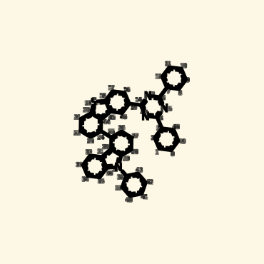 c1ccc(-c2nc(-c3ccccc3)nc(-c3ccc4sc5cccc(-c6cccc7c6c6ccccc6n7-c6ccccc6)c5c4c3)n2)cc1